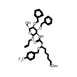 C=CCO[C@H]1O[C@H](CO)[C@@H](OCc2ccccc2)[C@H](OCc2ccccc2)[C@H]1NC(=O)C[C@@H](CCCCCCCCCCCCCCC)OCc1ccc(C(F)(F)F)cc1